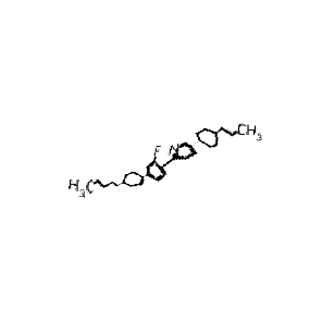 CCCCC[C@H]1CC[C@H](c2ccc(-c3ccc([C@H]4CC[C@H](CCC)CC4)cn3)c(F)c2)CC1